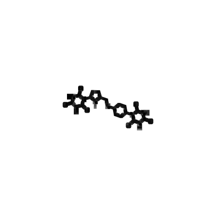 Cn1c(/C=N/c2ccc(-n3c(=O)[nH]c(=O)[nH]c3=O)cc2)ccc1-n1c(=O)[nH]c(=O)[nH]c1=O